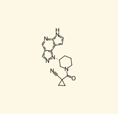 N#CC1(C(=O)N2CCC[C@@H](n3ncc4cnc5[nH]ccc5c43)C2)CC1